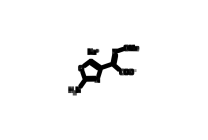 CON=C(C(=O)[O-])c1coc(N)n1.[Na+]